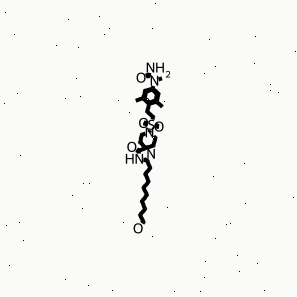 Cc1cc(N(C)C(N)=O)cc(C)c1CCS(=O)(=O)N1CCC2(CC1)N=C(CCCCCCCCC=O)NC2=O